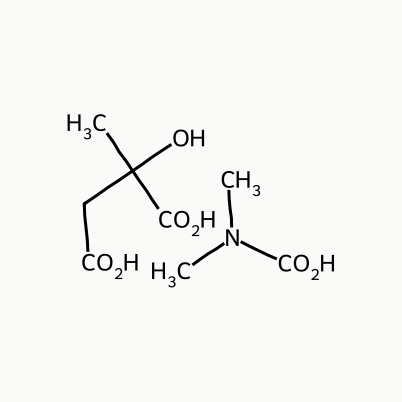 CC(O)(CC(=O)O)C(=O)O.CN(C)C(=O)O